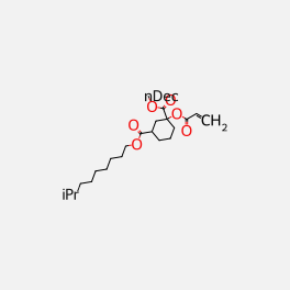 C=CC(=O)OC1(C(=O)OCCCCCCCCCC)CCCC(C(=O)OCCCCCCCC(C)C)C1